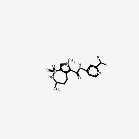 CC1CCc2c(cn(C)c2C(=O)Nc2ccnc(C(F)F)c2)S(=O)(=O)N1